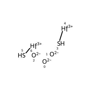 [O-2].[O-2].[O-2].[SH][Hf+3].[SH][Hf+3]